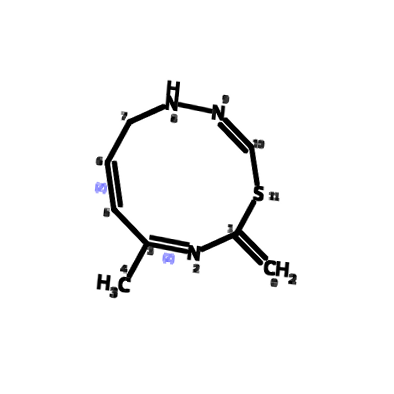 C=C1/N=C(C)\C=C/CNN=CS1